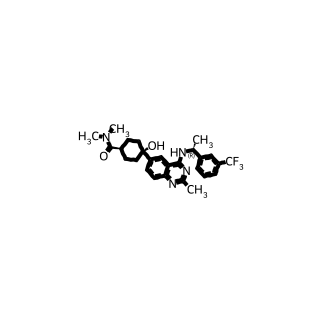 Cc1nc(N[C@H](C)c2cccc(C(F)(F)F)c2)c2cc([C@]3(O)CC[C@@H](C(=O)N(C)C)CC3)ccc2n1